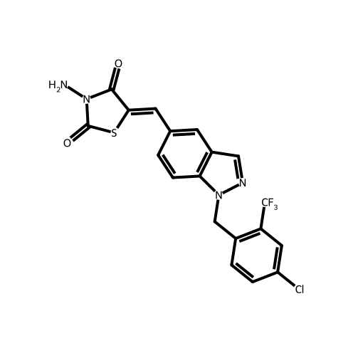 NN1C(=O)S/C(=C\c2ccc3c(cnn3Cc3ccc(Cl)cc3C(F)(F)F)c2)C1=O